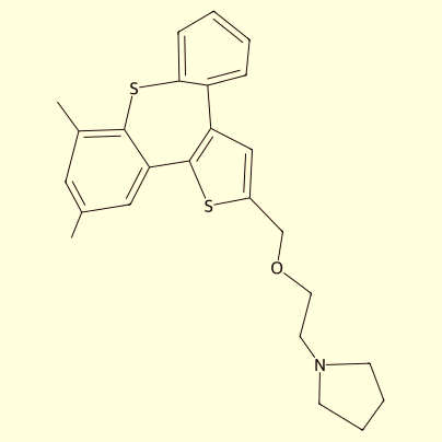 Cc1cc(C)c2c(c1)-c1sc(COCCN3CCCC3)cc1-c1ccccc1S2